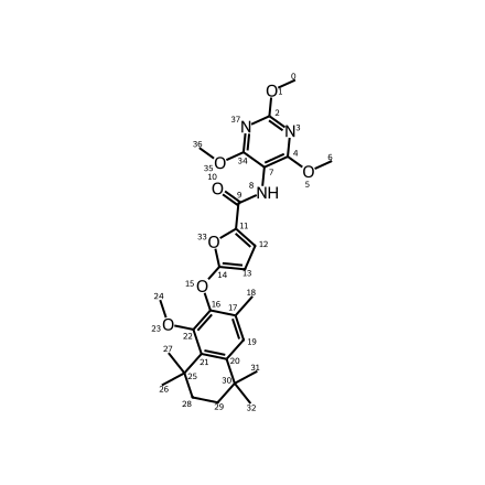 COc1nc(OC)c(NC(=O)c2ccc(Oc3c(C)cc4c(c3OC)C(C)(C)CCC4(C)C)o2)c(OC)n1